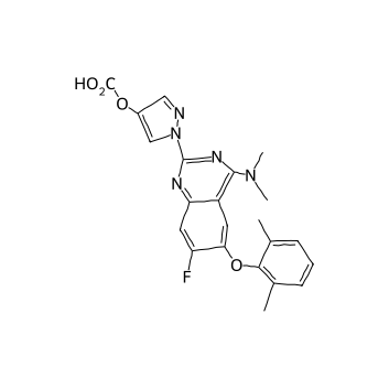 Cc1cccc(C)c1Oc1cc2c(N(C)C)nc(-n3cc(OC(=O)O)cn3)nc2cc1F